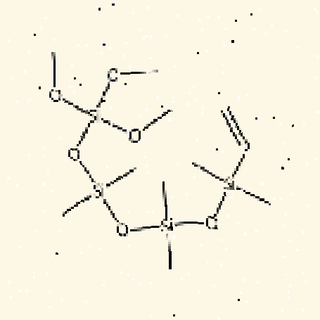 C=C[Si](C)(C)O[Si](C)(C)O[Si](C)(C)O[Si](OC)(OC)OC